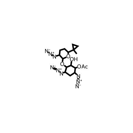 CC(=O)OC1C(N=[N+]=[N-])CC(N=[N+]=[N-])C(OC2OC(C3(C)CC3)CCC2N=[N+]=[N-])C1O